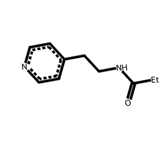 CCC(=O)NCCc1ccncc1